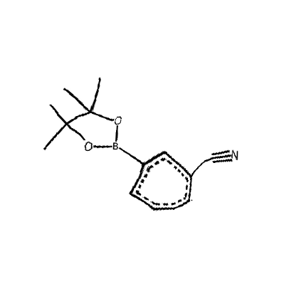 CC1(C)OB(c2cc[c]c(C#N)c2)OC1(C)C